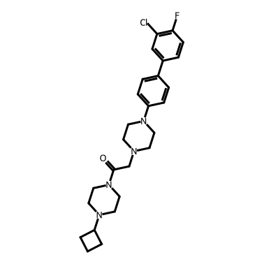 O=C(CN1CCN(c2ccc(-c3ccc(F)c(Cl)c3)cc2)CC1)N1CCN(C2CCC2)CC1